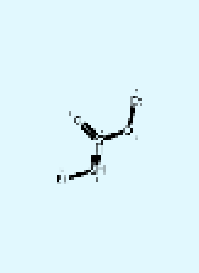 CCO/[SH](=O)=[SH]/CC